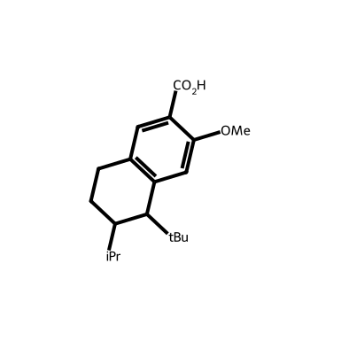 COc1cc2c(cc1C(=O)O)CCC(C(C)C)C2C(C)(C)C